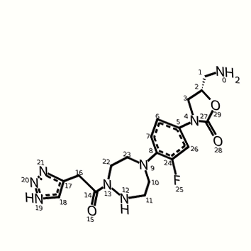 NC[C@H]1CN(c2ccc(N3CCNN(C(=O)Cc4c[nH]nn4)CC3)c(F)c2)C(=O)O1